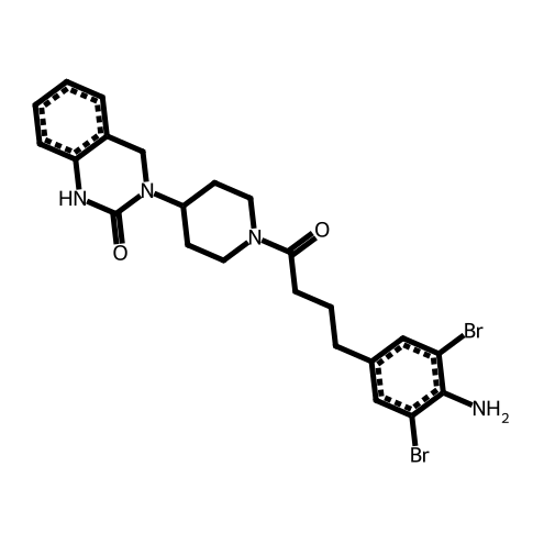 Nc1c(Br)cc(CCCC(=O)N2CCC(N3Cc4ccccc4NC3=O)CC2)cc1Br